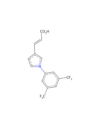 O=C(O)C=Cc1ccn(-c2cc(C(F)(F)F)cc(C(F)(F)F)c2)c1